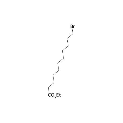 CCOC(=O)CCCCCCCCCCBr